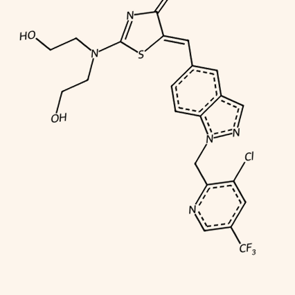 O=C1N=C(N(CCO)CCO)S/C1=C\c1ccc2c(cnn2Cc2ncc(C(F)(F)F)cc2Cl)c1